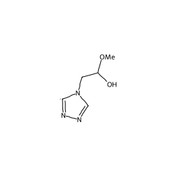 COC(O)Cn1[c]nnc1